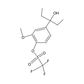 CCC(O)(CC)c1ccc(OS(=O)(=O)C(F)(F)F)c(OC)c1